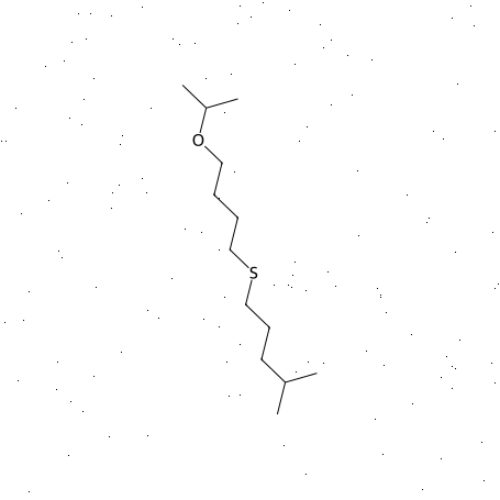 CC(C)CCCSCCCCOC(C)C